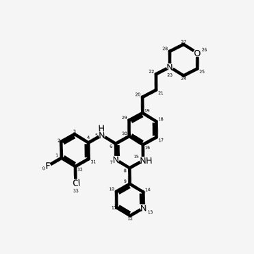 Fc1ccc(NC2=NC(c3cccnc3)Nc3ccc(CCCN4CCOCC4)cc32)cc1Cl